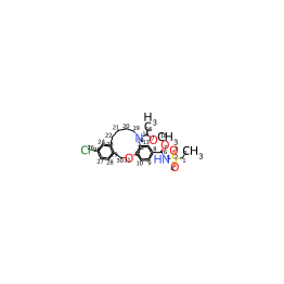 CCS(=O)(=O)NC(=O)c1ccc2c(c1)N(C(C)OC)CCCCc1cc(Cl)ccc1CO2